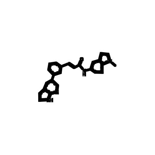 Cn1ccc2cc(NC(=O)C=Cc3cccc(-c4cnc5[nH]ccc5c4)c3)ccc21